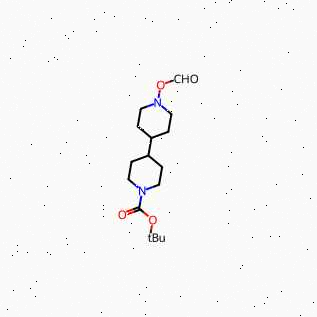 CC(C)(C)OC(=O)N1CCC(C2CCN(OC=O)CC2)CC1